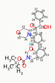 CC(C)(C)OC(=O)N1COc2c(cccc2-c2ccc(C(=O)C(O)c3ccccc3)c(N3CCOCC3)c2F)C1